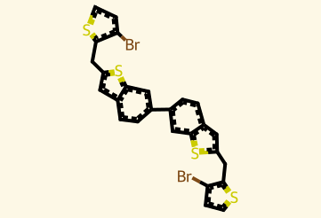 Brc1ccsc1Cc1cc2ccc(-c3ccc4cc(Cc5sccc5Br)sc4c3)cc2s1